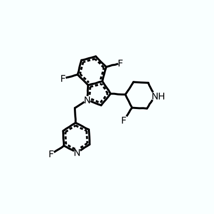 Fc1cc(Cn2cc(C3CCNCC3F)c3c(F)ccc(F)c32)ccn1